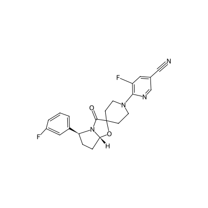 N#Cc1cnc(N2CCC3(CC2)O[C@@H]2CC[C@@H](c4cccc(F)c4)N2C3=O)c(F)c1